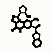 Cc1cc2c(cc1C(=O)N1Cc3ccccc3C1)[nH]c(=O)c1nnc(C3CCCC3O)n12